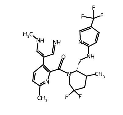 CN/C=C(\C=N)c1ccc(C)nc1C(=O)N1CC(F)(F)CC(C)[C@H]1CNc1ccc(C(F)(F)F)cn1